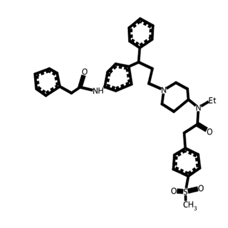 CCN(C(=O)Cc1ccc(S(C)(=O)=O)cc1)C1CCN(CCC(c2ccccc2)c2ccc(NC(=O)Cc3ccccc3)cc2)CC1